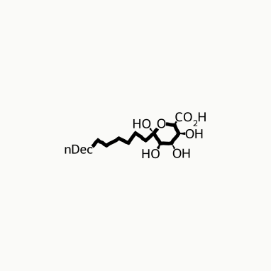 CCCCCCCCCCCCCCCC[C@@]1(O)O[C@H](C(=O)O)[C@@H](O)[C@H](O)[C@H]1O